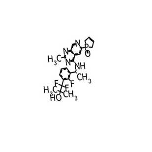 Cc1nc(N[C@H](C)c2cccc(C(F)(F)C(C)(C)O)c2F)c2cc(P3(=O)CC=CC3)ncc2n1